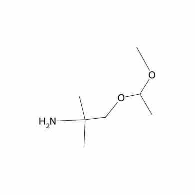 COC(C)OCC(C)(C)N